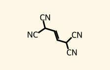 N#CC(C#N)/C=C/C(C#N)C#N